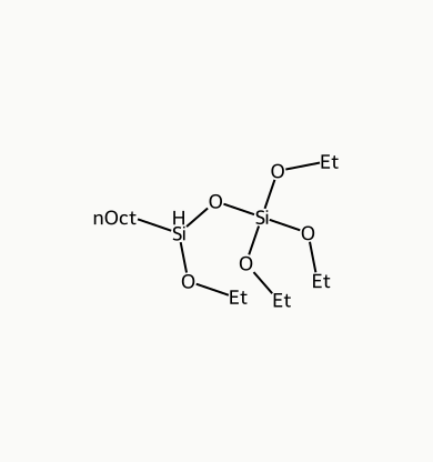 CCCCCCCC[SiH](OCC)O[Si](OCC)(OCC)OCC